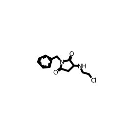 O=C1CC(NCCCl)C(=O)N1Cc1ccccc1